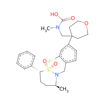 C[C@H]1CC[C@H](c2ccccc2)S(=O)(=O)N1Cc1ccc(C2(CN(C)C(=O)O)CCOCC2)cc1F